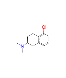 CN(C)C1CCc2c(O)cccc2C1